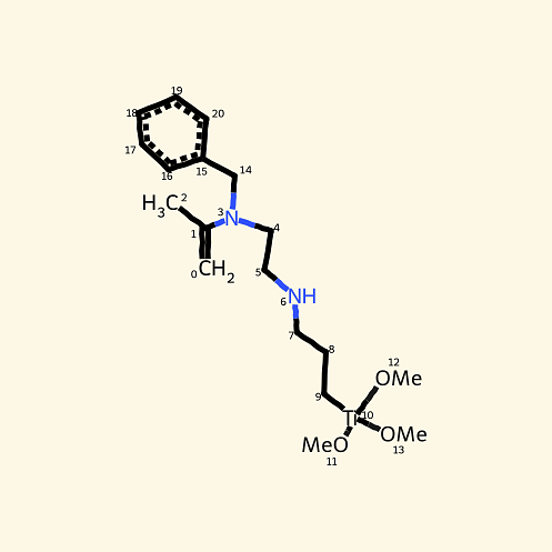 C=C(C)N(CCNCC[CH2][Ti]([O]C)([O]C)[O]C)Cc1ccccc1